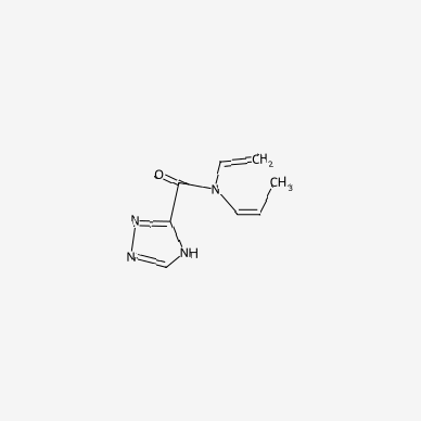 C=CN(/C=C\C)C(=O)c1nnc[nH]1